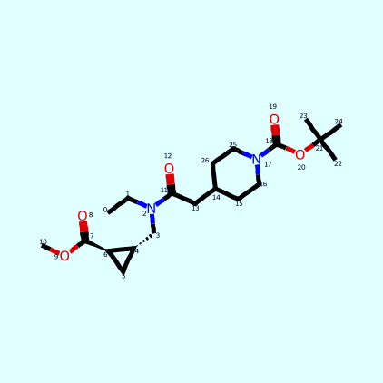 CCN(C[C@@H]1C[C@H]1C(=O)OC)C(=O)CC1CCN(C(=O)OC(C)(C)C)CC1